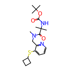 CN(Cc1ncccc1SC1CCC1)C(=O)C(C)(C)NC(=O)OC(C)(C)C